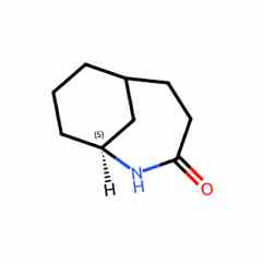 O=C1CCC2CCC[C@@H](C2)N1